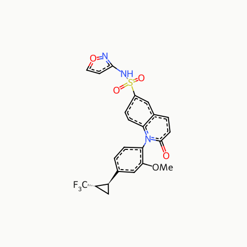 COc1cc([C@H]2C[C@@H]2C(F)(F)F)ccc1-n1c(=O)ccc2cc(S(=O)(=O)Nc3ccon3)ccc21